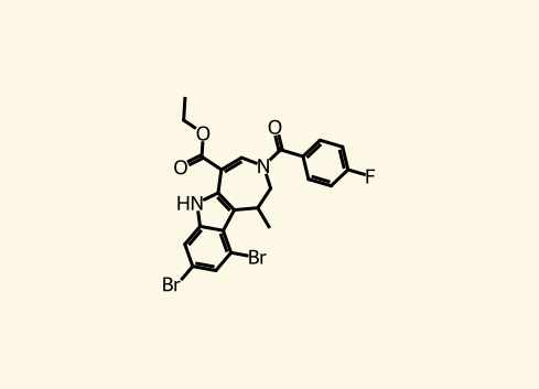 CCOC(=O)C1=CN(C(=O)c2ccc(F)cc2)CC(C)c2c1[nH]c1cc(Br)cc(Br)c21